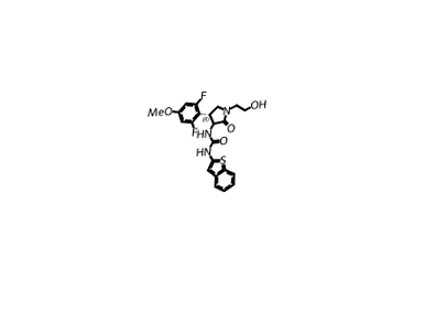 COc1cc(F)c([C@@H]2CN(CCO)C(=O)C2NC(=O)Nc2cc3ccccc3s2)c(F)c1